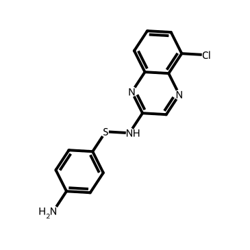 Nc1ccc(SNc2cnc3c(Cl)cccc3n2)cc1